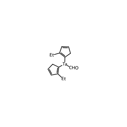 CCC1=[C]([Ta]([CH]=O)[C]2=C(CC)C=CC2)CC=C1